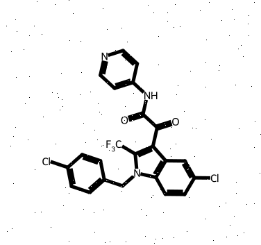 O=C(Nc1ccncc1)C(=O)c1c(C(F)(F)F)n(Cc2ccc(Cl)cc2)c2ccc(Cl)cc12